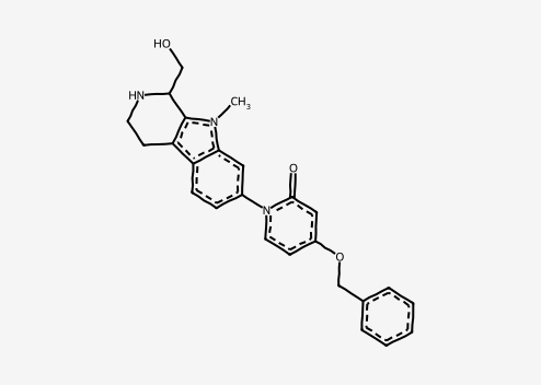 Cn1c2c(c3ccc(-n4ccc(OCc5ccccc5)cc4=O)cc31)CCNC2CO